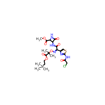 COC(=O)C1NC(=O)C1NC(=O)C(=NOC(C)(C)C(=O)OCC[Si](C)(C)C)c1csc(NC(=O)CCl)n1